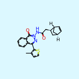 Cc1ccsc1-c1nn(NC(=O)C[C@@H]2C[C@@H]3C=C[C@@H]2C3)c(=O)c2ccccc12